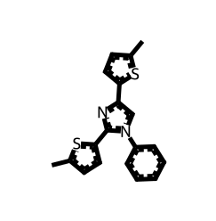 Cc1ccc(-c2cn(-c3ccccc3)c(-c3ccc(C)s3)n2)s1